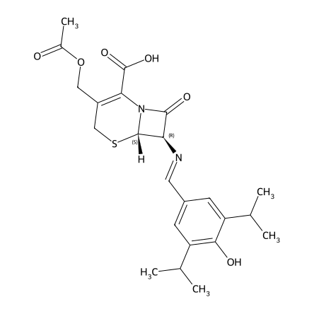 CC(=O)OCC1=C(C(=O)O)N2C(=O)[C@@H](N=Cc3cc(C(C)C)c(O)c(C(C)C)c3)[C@@H]2SC1